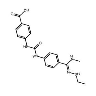 CCN/N=C(\NC)c1ccc(NC(=O)Nc2ccc(C(=O)O)cc2)cc1